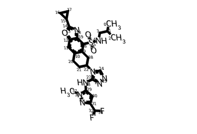 CC(C)CNS(=O)(=O)c1c2c(cc3oc(C4CC4)nc13)CCC(n1cnnc1Nc1cc(C(F)F)nn1C)C2